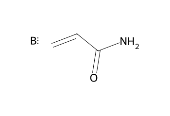 C=CC(N)=O.[B]